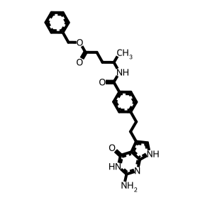 CC(CCC(=O)OCc1ccccc1)NC(=O)c1ccc(CCc2c[nH]c3nc(N)[nH]c(=O)c23)cc1